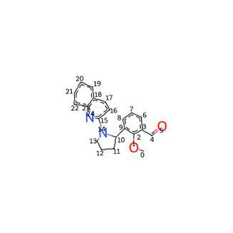 COc1c(C=O)cccc1C1CCCN1c1ccc2ccccc2n1